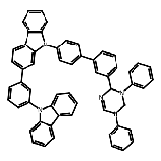 C1=NC(c2cccc(-c3ccc(-n4c5ccccc5c5ccc(-c6cccc(-n7c8ccccc8c8ccccc87)c6)cc54)cc3)c2)N(c2ccccc2)CN1c1ccccc1